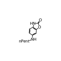 CCCCCNc1ccc2[nH]c(=O)oc2c1